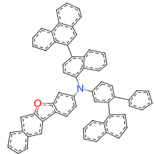 c1ccc(-c2ccc(N(c3ccc4c(c3)oc3cc5ccccc5cc34)c3ccc(-c4cc5ccccc5c5ccccc45)c4ccccc34)cc2-c2cccc3ccccc23)cc1